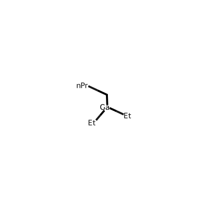 CCC[CH2][Ga]([CH2]C)[CH2]C